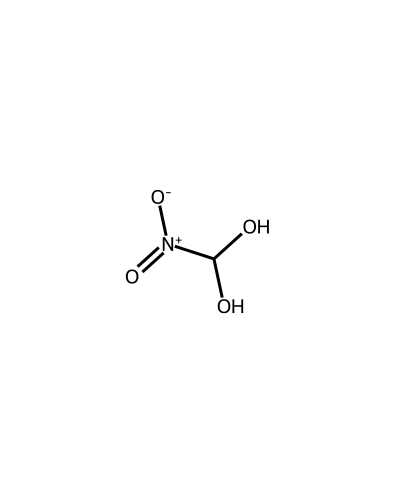 O=[N+]([O-])C(O)O